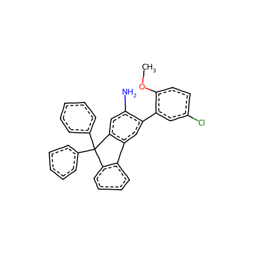 COc1ccc(Cl)cc1-c1cc2c(cc1N)C(c1ccccc1)(c1ccccc1)c1ccccc1-2